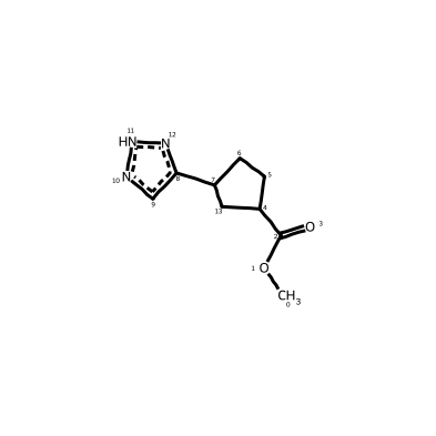 COC(=O)C1CCC(c2cn[nH]n2)C1